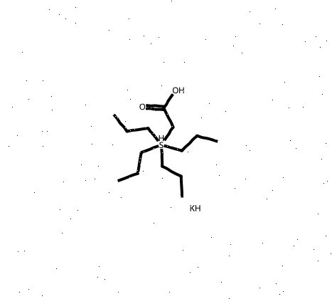 CCC[SH](CCC)(CCC)(CCC)CC(=O)O.[KH]